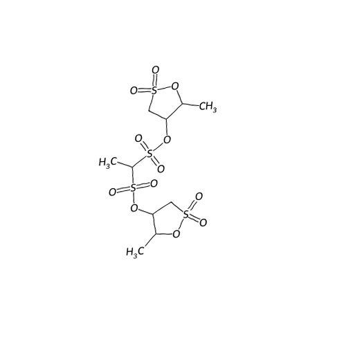 CC1OS(=O)(=O)CC1OS(=O)(=O)C(C)S(=O)(=O)OC1CS(=O)(=O)OC1C